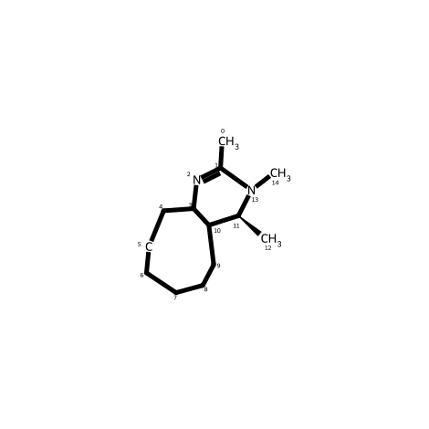 CC1=NC2CCCCCCC2[C@H](C)N1C